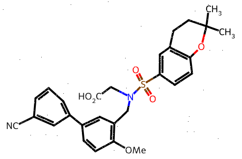 COc1ccc(-c2cccc(C#N)c2)cc1CN(CC(=O)O)S(=O)(=O)c1ccc2c(c1)CCC(C)(C)O2